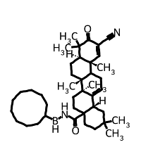 CC1(C)CCC2(C(=O)NBC3CCCCCCCCC3)CC[C@]3(C)C(=CCC4[C@@]5(C)C=C(C#N)C(=O)C(C)(C)[C@@H]5CC[C@]43C)[C@@H]2C1